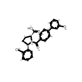 O=C(O)[C@@H]1CC[C@H](c2ccccc2Cl)N1C(=O)c1ccc(-c2cccc(Cl)c2)cc1